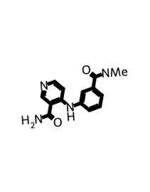 CNC(=O)c1cccc(Nc2ccncc2C(N)=O)c1